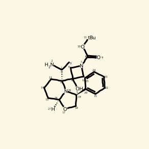 CC(N)[C@@]1(C2(O)CN(C(=O)OC(C)(C)C)C2)CCC[C@@H]2OC[C@H](c3ccccc3)N21